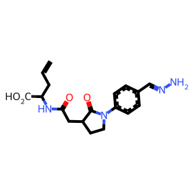 C=CCC(NC(=O)CC1CCN(c2ccc(C=NN)cc2)C1=O)C(=O)O